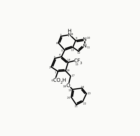 O=C(O)c1ccc(-c2cc[nH]c3nncc2-3)c(C(F)(F)F)c1COc1ccccc1